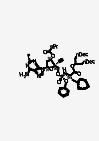 C#C[C@]1(CO[P@@](=O)(N[C@@H](Cc2ccccc2)C(=O)OC(CCCCCCCCCCC)CCCCCCCCCCC)Oc2ccccc2)O[C@@H](n2cnc3c(N)nc(F)nc32)C[C@@H]1OC(=O)CCC